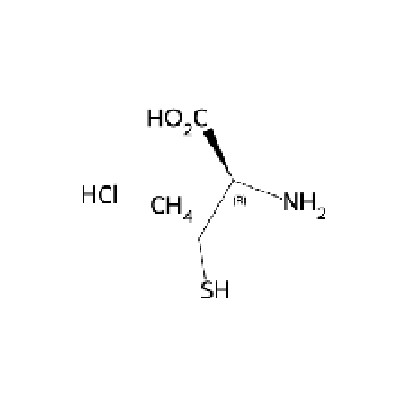 C.Cl.N[C@@H](CS)C(=O)O